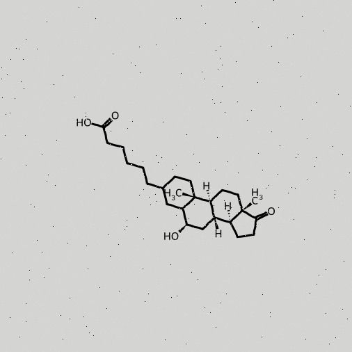 C[C@]12CCC(CCCCCC(=O)O)CC1[C@H](O)C[C@@H]1[C@@H]2CC[C@]2(C)C(=O)CC[C@@H]12